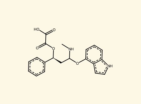 CNC(C[C@H](OC(=O)C(=O)O)c1ccccc1)Oc1cccc2[nH]ccc12